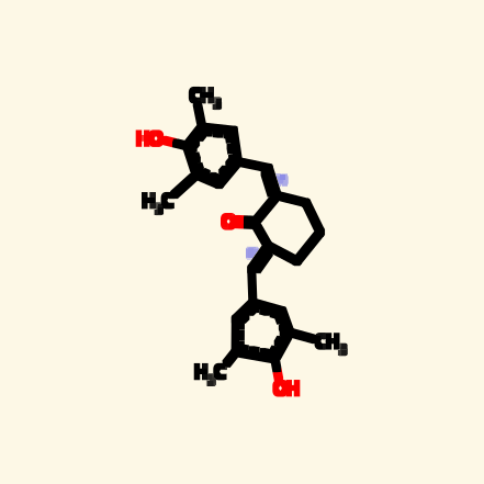 Cc1cc(/C=C2/CCC/C(=C\c3cc(C)c(O)c(C)c3)C2=O)cc(C)c1O